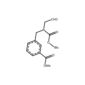 COC(=O)c1cccc(CN(CC=O)C(=O)OC(C)(C)C)c1